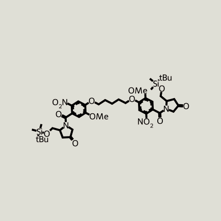 COc1cc(C(=O)N2CC(=O)CC2CO[Si](C)(C)C(C)(C)C)c([N+](=O)[O-])cc1OCCCCCOc1cc([N+](=O)[O-])c(C(=O)N2CC(=O)CC2CO[Si](C)(C)C(C)(C)C)cc1OC